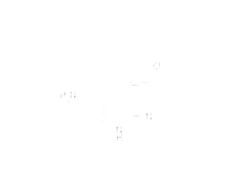 NCc1c[nH]c2ncc(Cl)cc12